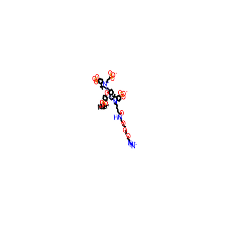 CC1(C)C(/C=C/C2=C(Oc3ccc(S(=O)(=O)[O-])cc3)C(=C/C=C3/N(CCCCCC(=O)NCCOCCOCCOCCN=[N+]=[N-])c4ccc(S(=O)(=O)[O-])cc4C3(C)C)/CCC2)=[N+](CCCCS(=O)(=O)[O-])c2ccc(S(=O)(=O)[O-])cc21.[Na+].[Na+].[Na+]